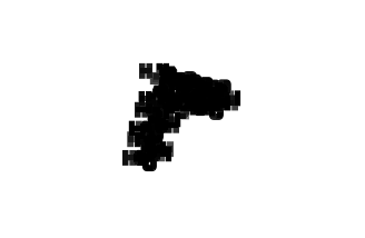 CC(N)(O)CNC(C)(O)CN.O=P(O)(O)CP(=O)(O)O.O=P(O)(O)CP(=O)(O)O.O=P(O)(O)CP(=O)(O)O.O=P(O)(O)CP(=O)(O)O.O=P(O)(O)CP(=O)(O)O